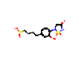 O=C1CN(c2ccc(CCCCS(=O)O)cc2O)S(=O)(=O)N1